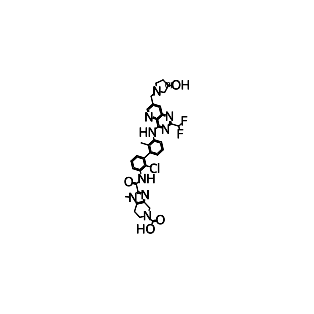 Cc1c(Nc2nc(C(F)F)nc3cc(CN4CC[C@@H](O)C4)cnc23)cccc1-c1cccc(NC(=O)c2nc3c(n2C)CCN(C(=O)O)C3)c1Cl